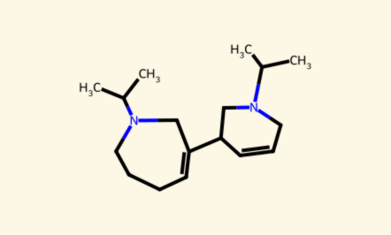 CC(C)N1CCCC=C(C2C=CCN(C(C)C)C2)C1